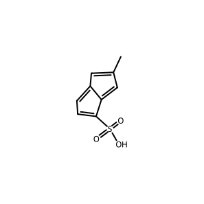 CC1=CC2=CC=C(S(=O)(=O)O)C2=C1